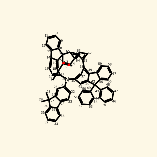 Cc1ccc2c(c1)C13c4ccccc4-c4ccc(cc41)N(c1ccc4c(c1)C(C)(C)c1ccccc1-4)c1cc(c4c(c1)C(c1ccccc1)(c1ccccc1)c1ccccc1-4)-c1ccc-2c3c1